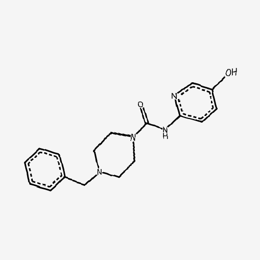 O=C(Nc1ccc(O)cn1)N1CCN(Cc2ccccc2)CC1